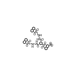 O=C(NCCNCCN1C(=O)c2cccc3cccc(c23)C1=O)c1cc(C(=O)NCCNCCN2C(=O)c3cccc4cccc(c34)C2=O)cc(N2C(=O)c3cccc4cc([N+](=O)[O-])cc(c34)C2=O)c1